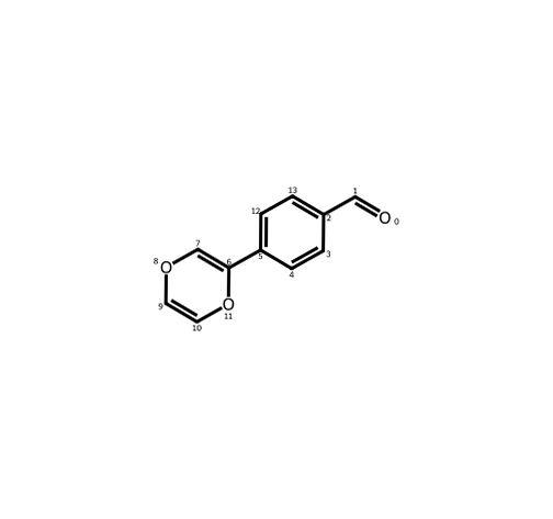 O=Cc1ccc(C2=COC=CO2)cc1